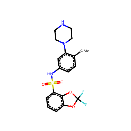 COc1ccc(NS(=O)(=O)c2cccc3c2OC(F)(F)O3)cc1N1CCNCC1